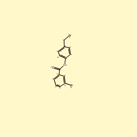 O=C(Oc1ccc(CBr)cc1)c1cccc(Br)c1